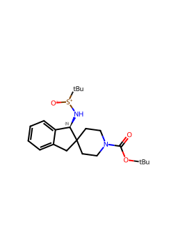 CC(C)(C)OC(=O)N1CCC2(CC1)Cc1ccccc1[C@H]2N[S+]([O-])C(C)(C)C